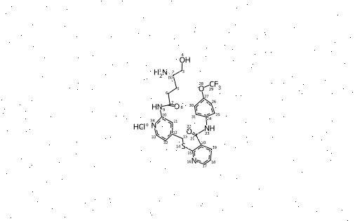 Cl.N[C@H](CO)CCC(=O)Nc1cc(CSc2ncccc2C(=O)Nc2ccc(OC(F)(F)F)cc2)ccn1